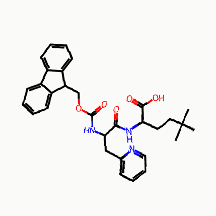 CC(C)(C)CCC(NC(=O)C(Cc1ccccn1)NC(=O)OCC1c2ccccc2-c2ccccc21)C(=O)O